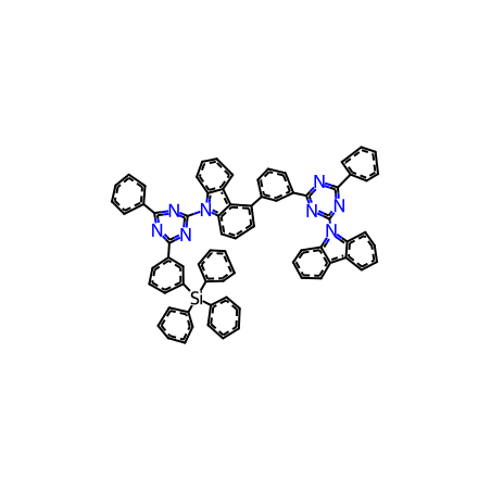 c1ccc(-c2nc(-c3cccc(-c4cccc5c4c4ccccc4n5-c4nc(-c5ccccc5)nc(-c5cccc([Si](c6ccccc6)(c6ccccc6)c6ccccc6)c5)n4)c3)nc(-n3c4ccccc4c4ccccc43)n2)cc1